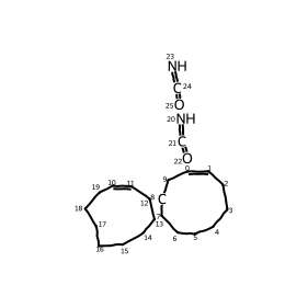 C1=CCCCCCCCC1.C1=CCCCCCCCC1.N=C=O.N=C=O